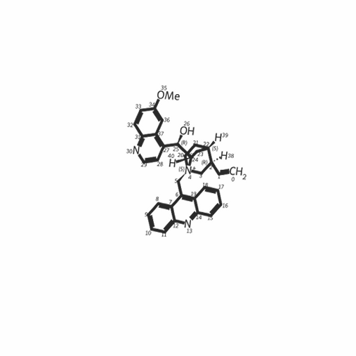 C=C[C@H]1C[N@+]2(Cc3c4ccccc4nc4ccccc34)CC[C@H]1C[C@H]2[C@H](O)c1ccnc2ccc(OC)cc12